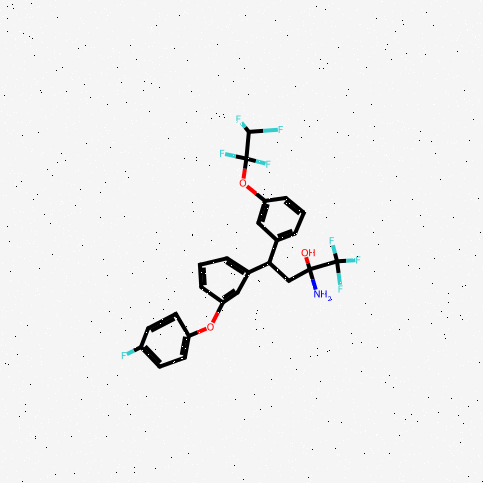 NC(O)(CC(c1cccc(Oc2ccc(F)cc2)c1)c1cccc(OC(F)(F)C(F)F)c1)C(F)(F)F